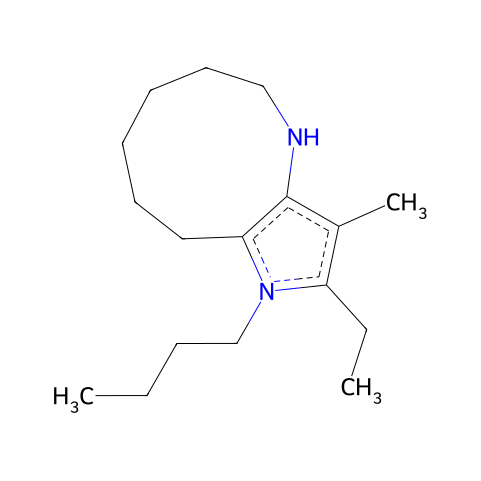 CCCCn1c(CC)c(C)c2c1CCCCCCN2